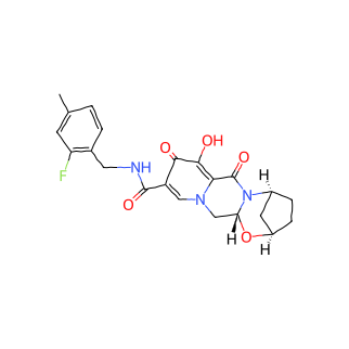 Cc1ccc(CNC(=O)c2cn3c(c(O)c2=O)C(=O)N2[C@H]4CC[C@H](C4)O[C@@H]2C3)c(F)c1